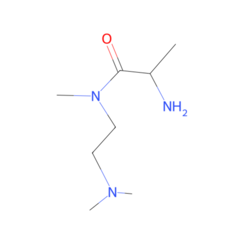 CC(N)C(=O)N(C)CCN(C)C